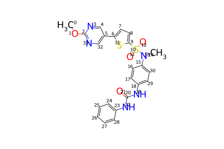 COc1ncc(-c2ccc(S(=O)(=O)N(C)c3ccc(NC(=O)Nc4ccccc4)cc3)s2)cn1